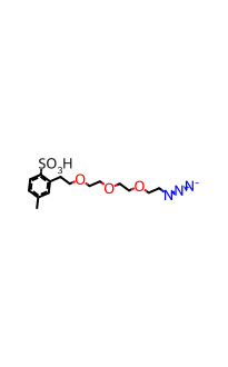 Cc1ccc(S(=O)(=O)O)c(CCOCCOCCOCCN=[N+]=[N-])c1